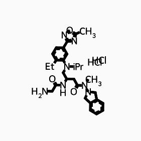 CCc1ccc(-c2noc(C)n2)cc1N(CC(CC(=O)N(C)N1Cc2ccccc2C1)NC(=O)CN)C(C)C.Cl.Cl